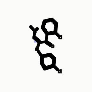 CN(C)/C=C(/Oc1ccc(Cl)cc1)C(=O)c1ccccc1Cl